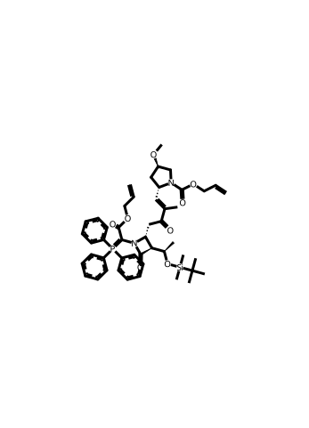 C=CCOC(=O)C(N1C(=O)[C@H]([C@@H](C)O[Si](C)(C)C(C)(C)C)[C@H]1CC(=O)C(C)=C[C@@H]1C[C@@H](OC)CN1C(=O)OCC=C)=P(c1ccccc1)(c1ccccc1)c1ccccc1